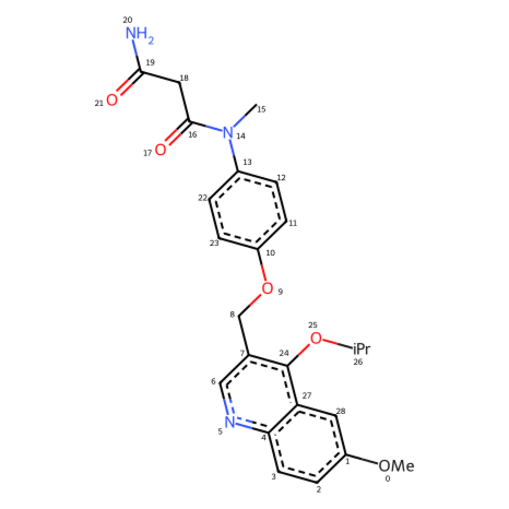 COc1ccc2ncc(COc3ccc(N(C)C(=O)CC(N)=O)cc3)c(OC(C)C)c2c1